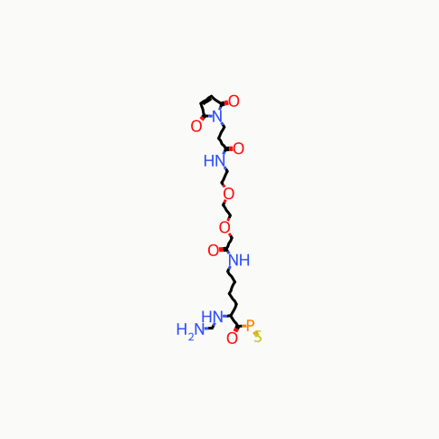 NCNC(CCCCNC(=O)COCCOCCNC(=O)CCN1C(=O)C=CC1=O)C(=O)P=S